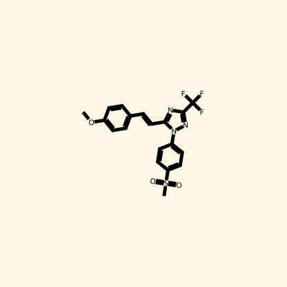 COc1ccc(C=Cc2nc(C(F)(F)F)nn2-c2ccc(S(C)(=O)=O)cc2)cc1